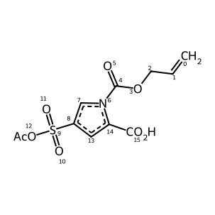 C=CCOC(=O)n1cc(S(=O)(=O)OC(C)=O)cc1C(=O)O